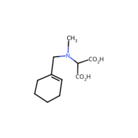 CN(CC1=CCCCC1)C(C(=O)O)C(=O)O